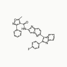 Cc1onc(-c2ccccc2)c1C(=O)Nc1cn2nc(-c3c(-c4ccc(F)cc4)nc4ccccn34)ccc2n1